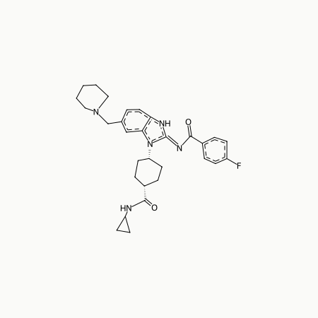 O=C(/N=c1\[nH]c2ccc(CN3CCCCC3)cc2n1[C@H]1CC[C@@H](C(=O)NC2CC2)CC1)c1ccc(F)cc1